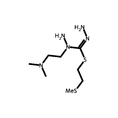 CSCCS/C(=N/N)N(N)CCN(C)C